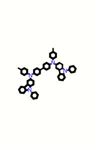 Cc1ccc(N(C2=CCC3C(=C2)c2ccccc2N3c2ccccc2)c2ccc(-c3ccc(N(c4ccc(C)cc4)c4ccc5c(c4)c4ccccc4n5-c4ccccc4)cc3)cc2)cc1